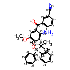 COc1cc(C(=O)c2cccc(C#N)c2)c(N)cc1O[Si](c1ccccc1)(c1ccccc1)C(C)(C)C